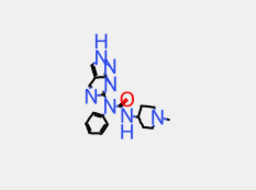 CN1CCC(NC(=O)N(c2ccccc2)c2ncc3c[nH]nc3n2)CC1